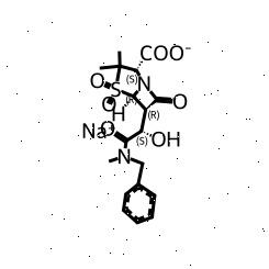 CN(Cc1ccccc1)C(=O)[C@@H](O)[C@@H]1C(=O)N2[C@@H](C(=O)[O-])C(C)(C)S(=O)(=O)[C@H]12.[Na+]